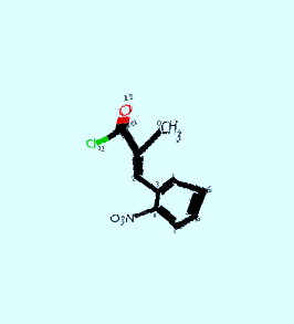 C/C(=C\c1ccccc1[N+](=O)[O-])C(=O)Cl